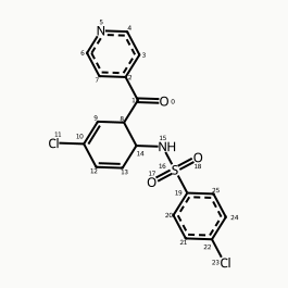 O=C(c1ccncc1)C1C=C(Cl)C=CC1NS(=O)(=O)c1ccc(Cl)cc1